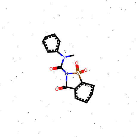 CN(C(=O)N1C(=O)c2ccccc2S1(=O)=O)c1ccccc1